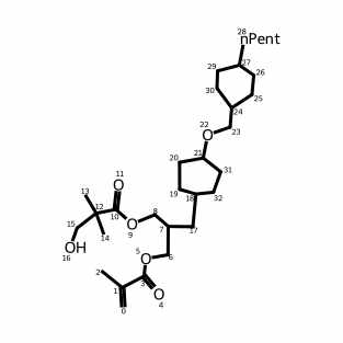 C=C(C)C(=O)OCC(COC(=O)C(C)(C)CO)CC1CCC(OCC2CCC(CCCCC)CC2)CC1